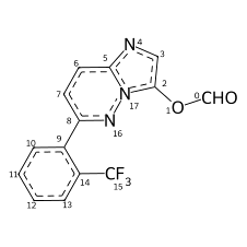 O=COc1cnc2ccc(-c3ccccc3C(F)(F)F)nn12